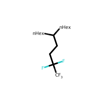 CCCCCCC(CCCCCC)CCC(F)(F)C(F)(F)F